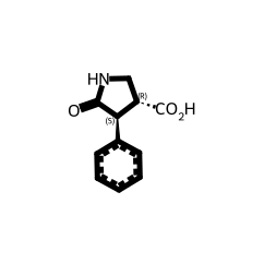 O=C(O)[C@H]1CNC(=O)[C@@H]1c1ccccc1